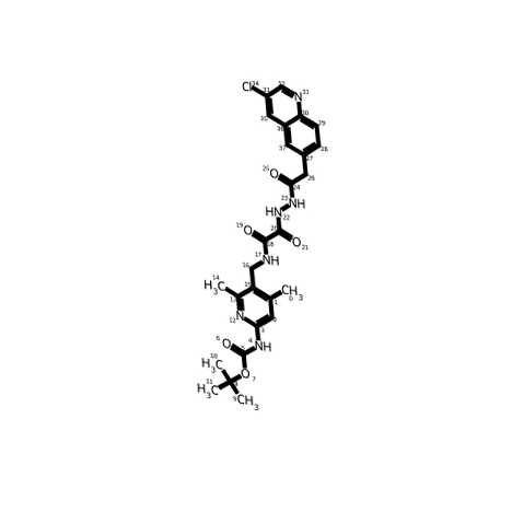 Cc1cc(NC(=O)OC(C)(C)C)nc(C)c1CNC(=O)C(=O)NNC(=O)Cc1ccc2ncc(Cl)cc2c1